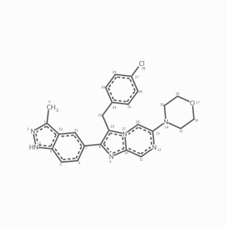 Cc1n[nH]c2ccc(-c3nc4cnc(N5CCOCC5)cn4c3Cc3ccc(Cl)cc3)cc12